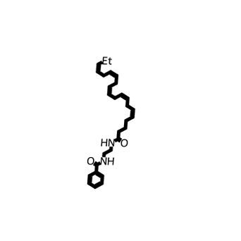 CC/C=C\C/C=C\C/C=C\C/C=C\C/C=C\CCCC(=O)NCCNC(=O)c1ccccc1